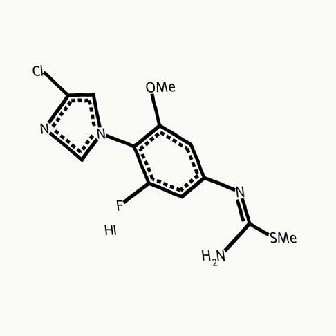 COc1cc(N=C(N)SC)cc(F)c1-n1cnc(Cl)c1.I